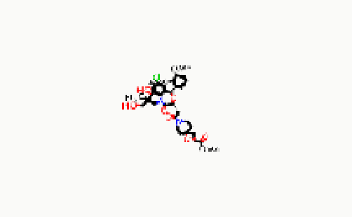 COC(=O)CCC1(O)CCN(C(=O)C[C@H]2O[C@H](c3cccc(OC)c3OC)c3cc(Cl)ccc3N(CC(C)(CO)CO)C2=O)CC1